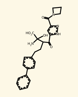 NC(O)(C(=O)O)C(CCc1ccc(-c2ccccc2)cc1)C(=O)c1cc(C(=O)N2CCC2)n[nH]1